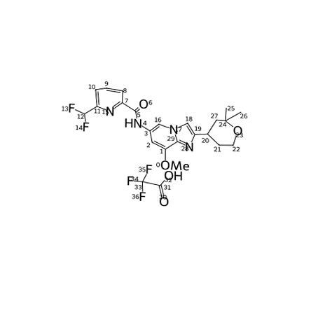 COc1cc(NC(=O)c2cccc(C(F)F)n2)cn2cc(C3CCOC(C)(C)C3)nc12.O=C(O)C(F)(F)F